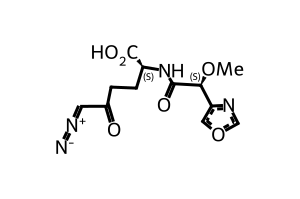 CO[C@H](C(=O)N[C@@H](CCC(=O)C=[N+]=[N-])C(=O)O)c1cocn1